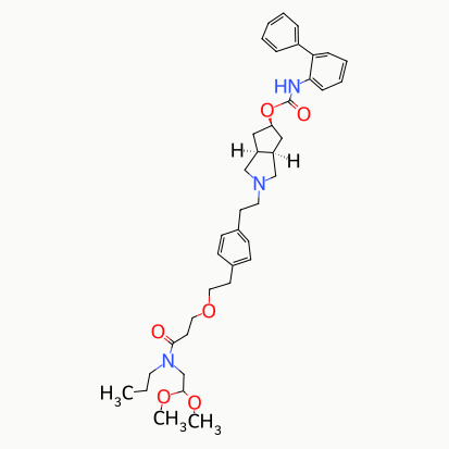 CCCN(CC(OC)OC)C(=O)CCOCCc1ccc(CCN2C[C@H]3C[C@@H](OC(=O)Nc4ccccc4-c4ccccc4)C[C@H]3C2)cc1